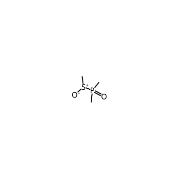 C[S+]([O-])P(C)(C)=O